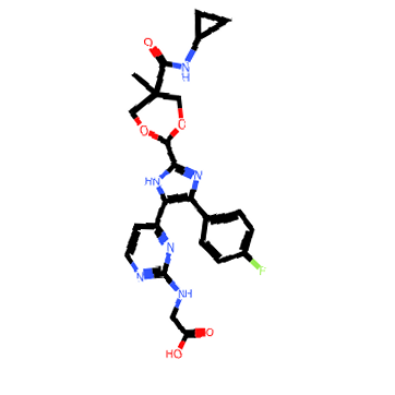 CC1(C(=O)NC2CC2)COC(c2nc(-c3ccc(F)cc3)c(-c3ccnc(NCC(=O)O)n3)[nH]2)OC1